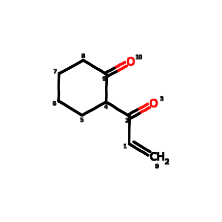 C=CC(=O)C1CCCCC1=O